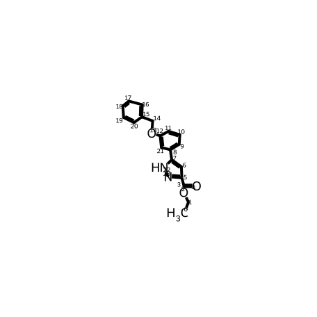 CCOC(=O)c1cc(-c2cccc(OCc3ccccc3)c2)[nH]n1